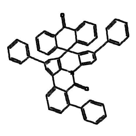 O=C1c2ccccc2C2(c3ccccc31)c1cc(-c3ccccc3)ccc1-n1c(=O)c3c(-c4ccccc4)cccc3c3cc(-c4ccccc4)cc2c31